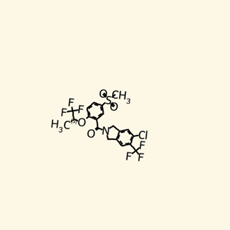 C[C@H](Oc1ccc(S(C)(=O)=O)cc1C(=O)N1Cc2cc(Cl)c(C(F)(F)F)cc2C1)C(F)(F)F